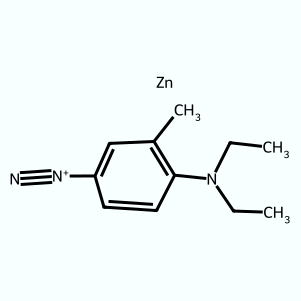 CCN(CC)c1ccc([N+]#N)cc1C.[Zn]